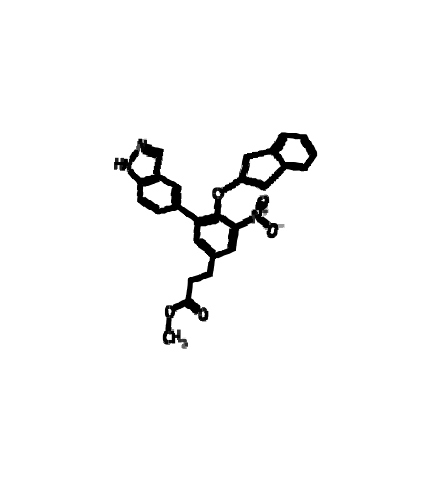 COC(=O)CCc1cc(-c2ccc3[nH]ncc3c2)c(OC2Cc3ccccc3C2)c([N+](=O)[O-])c1